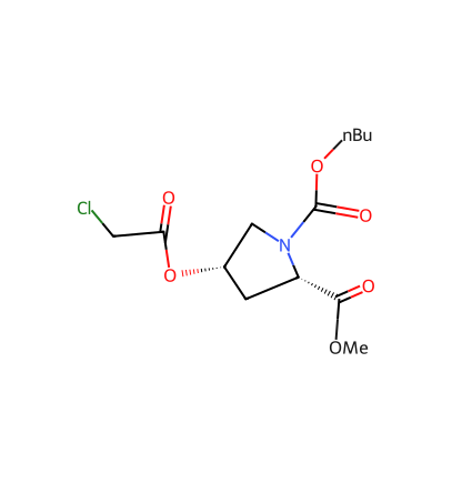 CCCCOC(=O)N1C[C@@H](OC(=O)CCl)C[C@H]1C(=O)OC